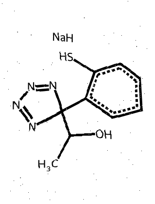 CC(O)C1(c2ccccc2S)N=NN=N1.[NaH]